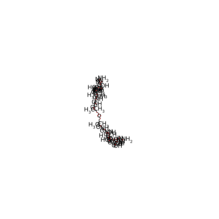 CC(C)(CCCCc1ccc(CCCCC(C)(C)C(=O)CCNC(=O)CCNC(=O)C(O)C(C)(C)COP(=O)(O)OP(=O)(O)OCC2OC(n3cnc4c(N)ncnc43)C(O)C2OP(=O)(O)O)cc1)C(=O)CCNC(=O)CCNC(=O)C(O)C(C)(C)COP(=O)(O)OP(=O)(O)OCC1OC(n2cnc3c(N)ncnc32)C(O)C1OP(=O)(O)O